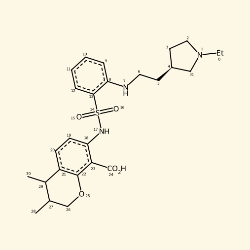 CCN1CC[C@H](CCNc2ccccc2S(=O)(=O)Nc2ccc3c(c2C(=O)O)OCC(C)C3C)C1